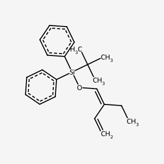 C=CC(=CO[Si](c1ccccc1)(c1ccccc1)C(C)(C)C)CC